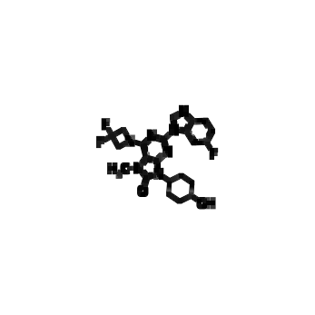 Cn1c(=O)n(C2CCC(O)CC2)c2nc(-n3cnc4ccc(F)cc43)nc(N3CC(F)(F)C3)c21